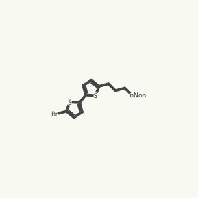 CCCCCCCCCCCCc1ccc(-c2ccc(Br)s2)s1